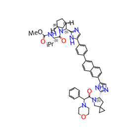 COC(=O)N[C@H](C(=O)N1[C@@H]2CC[C@@H](C2)[C@H]1c1ncc(-c2ccc(-c3ccc4cc(-c5cnc([C@@H]6CC7(CC7)CN6C(=O)C(c6ccccc6)N6CCOCC6)[nH]5)ccc4c3)cc2)[nH]1)C(C)C